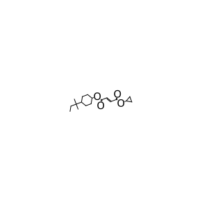 CCC(C)(C)C1CCC(OC(=O)/C=C/C(=O)OC2CC2)CC1